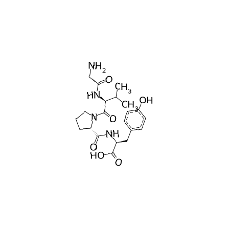 CC(C)[C@H](NC(=O)CN)C(=O)N1CCC[C@H]1C(=O)N[C@@H](Cc1ccc(O)cc1)C(=O)O